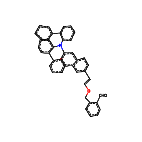 O=Cc1ccccc1COC=Cc1ccc2cc(N(c3ccccc3-c3ccccc3)c3ccccc3-c3ccccc3)ccc2c1